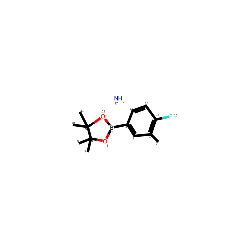 Cc1cc(B2OC(C)(C)C(C)(C)O2)ccc1F.N